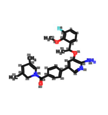 COc1c(F)cccc1C(C)Oc1cc(-c2ccc(C(=O)N3C=C(C)C=C(C)C3)cc2)cnc1N